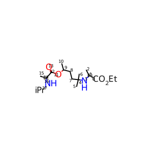 CCOC(=O)[C@H](C)NC(C)(C)CCC(C)OC(=O)[C@H](C)NC(C)C